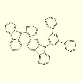 c1ccc(-c2cc(-n3c4ccc(-c5cccc6c7ccccc7n(-c7ccccc7)c56)cc4c4ncccc43)cc(-c3ccccc3)n2)cc1